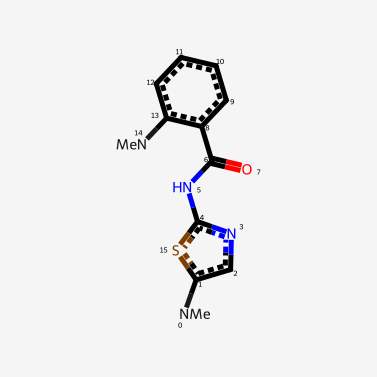 CNc1cnc(NC(=O)c2ccccc2NC)s1